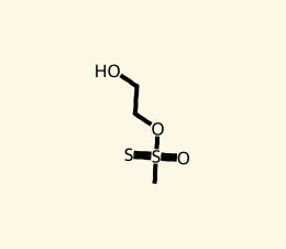 CS(=O)(=S)OCCO